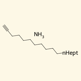 C#CCCCCCCCCCCCCCCC[CH2].N